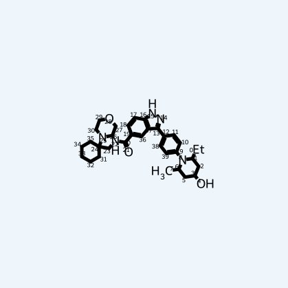 CCC1CC(O)CC(C)N1c1ccc(-c2n[nH]c3ccc(C(=O)NCC4(N5CCOCC5)CCCCC4)cc23)cc1